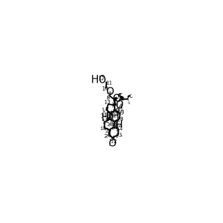 CCC(=S)O[C@]1(C(=O)COCCO)CC[C@H]2[C@@H]3CCC4=CC(=O)CC[C@]4(C)[C@H]3CC[C@@]21C